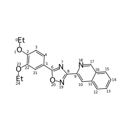 CCOc1ccc(-c2nc(-c3cc4ccccc4cn3)no2)cc1OCC